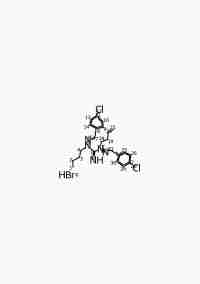 Br.CCCCN(/N=C/c1ccc(Cl)cc1)C(=N)N(CCCC)/N=C/c1ccc(Cl)cc1